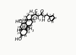 C[C@H](CC(=O)NCc1ccco1)[C@H]1CC[C@H]2[C@@H]3[C@H](O)C[C@@H]4C[C@H](O)CC[C@]4(C)[C@H]3CC[C@]12C